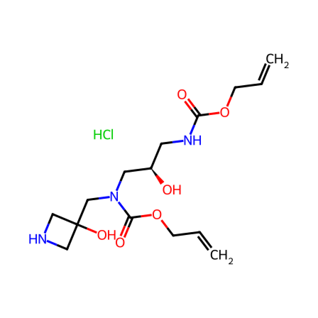 C=CCOC(=O)NC[C@@H](O)CN(CC1(O)CNC1)C(=O)OCC=C.Cl